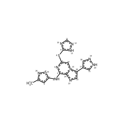 Cc1cc(Nc2nc(Sc3ncn[nH]3)cn3c(-c4cn[nH]c4)cnc23)sn1